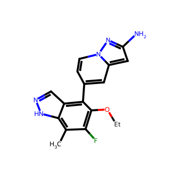 CCOc1c(F)c(C)c2[nH]ncc2c1-c1ccn2nc(N)cc2c1